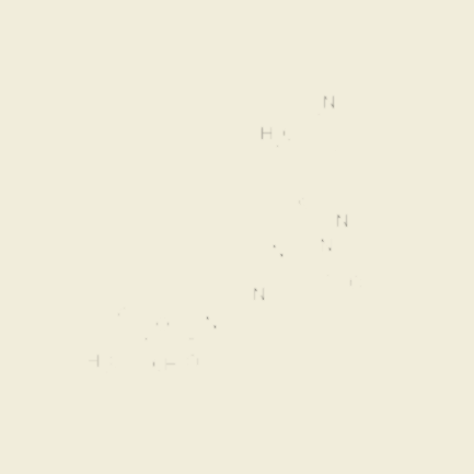 C=Cc1c(N)cccc1-c1nn2c(=O)cc(N3CCN(C(=O)OC(C)(C)C)CC3)nc2s1